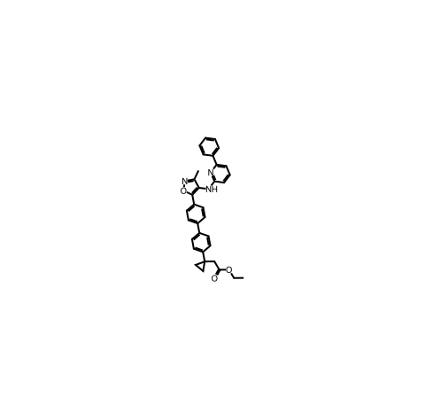 CCOC(=O)CC1(c2ccc(-c3ccc(-c4onc(C)c4Nc4cccc(-c5ccccc5)n4)cc3)cc2)CC1